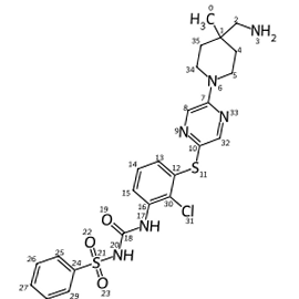 CC1(CN)CCN(c2cnc(Sc3cccc(NC(=O)NS(=O)(=O)c4ccccc4)c3Cl)cn2)CC1